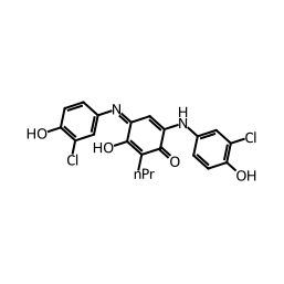 CCCC1=C(O)/C(=N\c2ccc(O)c(Cl)c2)C=C(Nc2ccc(O)c(Cl)c2)C1=O